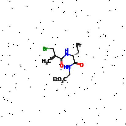 C=C(CBr)C(=O)N[C@H](CC(C)C)C(=O)NCC(=O)OCC